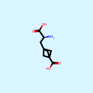 N[C@@H](CC12CC(C(=O)O)(C1)C2)C(=O)O